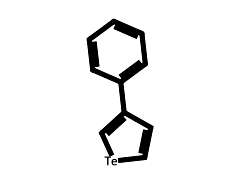 c1ccc(-c2cc[te]c2)cc1